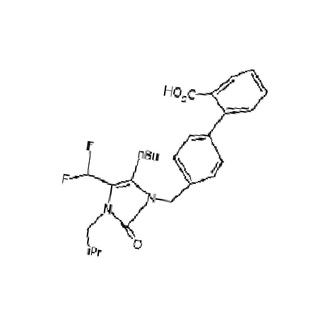 CCCCc1c(C(F)F)n(CC(C)C)c(=O)n1Cc1ccc(-c2ccccc2C(=O)O)cc1